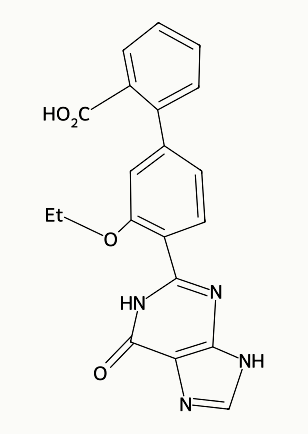 CCOc1cc(-c2ccccc2C(=O)O)ccc1-c1nc2[nH]cnc2c(=O)[nH]1